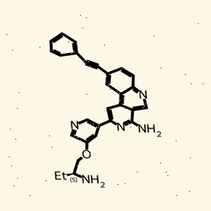 CC[C@H](N)COc1cncc(-c2cc3c(cnc4ccc(C#Cc5ccccc5)cc43)c(N)n2)c1